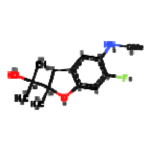 CONc1cc2c(cc1F)OC(C)(C(C)(C)O)C2